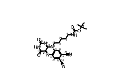 CC(C)(C)OC(=O)NCCCCCn1c2nc(=O)[nH]c(=O)c-2nc2cc(C#N)c(C#N)cc21